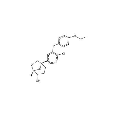 CCOc1ccc(Cc2cc([C@]34CC[C@H](O)[C@](C)(CC3)O4)ccc2Cl)cc1